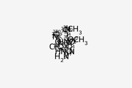 CCOc1cc2ncc(N)c(Nc3ccc(OCc4ccccn4)c(Cl)c3)c2cc1NC(=O)/C=C/C1CCCN1C